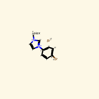 CCCCCCn1cc[n+](-c2ccc(Br)cc2)c1.[Br-]